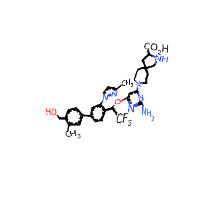 Cc1ccn(-c2cc(-c3ccc(CO)c(C)c3)ccc2C(Oc2cc(N3CCC4(CC3)CNC(C(=O)O)C4)nc(N)n2)C(F)(F)F)n1